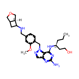 CCC[C@@H](CCO)Nc1nc(N)nc2cnn(Cc3ccc(CNC4CC5COC[C@H]54)cc3OC)c12